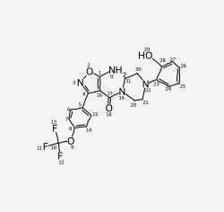 Nc1onc(-c2ccc(OC(F)(F)F)cc2)c1C(=O)N1CCN(c2ccccc2O)CC1